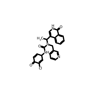 CC(c1c[nH]c(=O)c2ccccc12)N(Cc1cccnc1)C(=O)NC1C=CC(=O)C(Cl)=C1